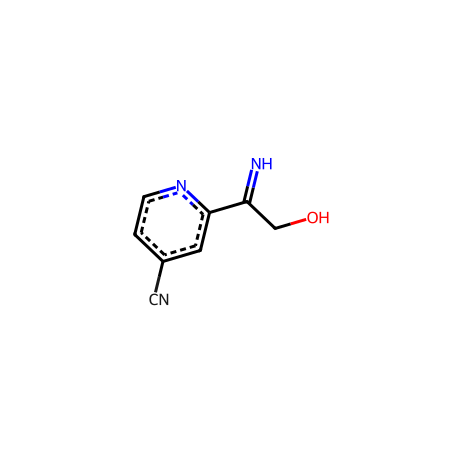 N#Cc1ccnc(C(=N)CO)c1